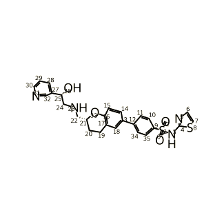 O=S(=O)(Nc1nccs1)c1ccc(-c2ccc3c(c2)CC[C@H](CNC[C@@H](O)c2cccnc2)O3)cc1